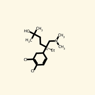 CC[C@](CCC(C)(C)O)(CN(C)C)C1C=CC(Cl)=C(Cl)C1